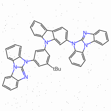 CC(C)(C)c1cc(-n2c3ccccc3c3ccc(-n4c5ccccc5n5c6ccccc6nc45)cc32)cc(-n2c3ccccc3n3c4ccccc4nc23)c1